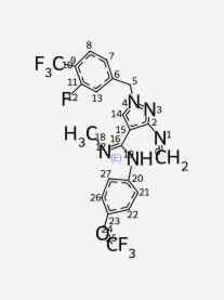 C=Nc1nn(Cc2ccc(C(F)(F)F)c(F)c2)cc1/C(=N\C)Nc1ccc(OC(F)(F)F)cc1